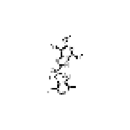 [2H]c1c(OC)nc(OC)n2nc(S(=O)(=O)Nc3c(Cl)ccc(C)c3Cl)nc12